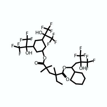 CCC(C)(CC(C)(C)C(=O)OC1CC(C(O)(C(F)(F)F)C(F)(F)F)CC(C(O)(C(F)(F)F)C(F)(F)F)C1)C(=O)OC(CC(O)(C(F)(F)F)C(F)(F)F)C1CCCCC1